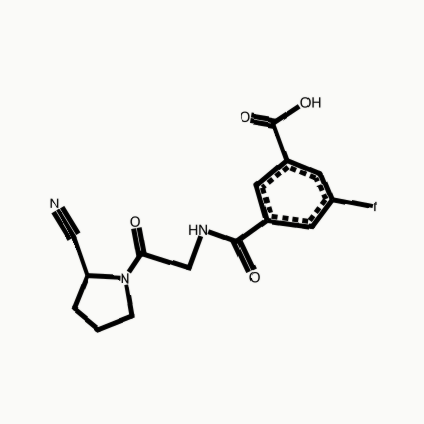 N#CC1CCCN1C(=O)CNC(=O)c1cc(I)cc(C(=O)O)c1